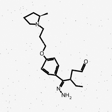 CCC(CC=O)/C(=N\N)c1ccc(OCCCN2CCC[C@H]2C)cc1